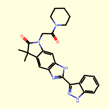 CC1(C)C(=O)N(CC(=O)N2CCCCC2)c2cc3[nH]c(-c4n[nH]c5ccccc45)nc3cc21